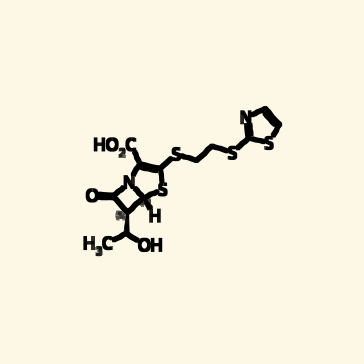 CC(O)[C@H]1C(=O)N2C(C(=O)O)=C(SCCSc3nccs3)S[C@H]12